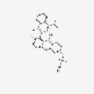 Cc1c2c(c(C(C)C)c3ccccc13)Oc1c3ccc(CC(C)(C)C#N)cc3cc3cc[n+](C)c-2c13